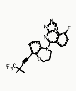 CC(C)(C#Cc1cccc2c1OCCCN2c1nc2nncn2c2c(F)cccc12)C(F)(F)F